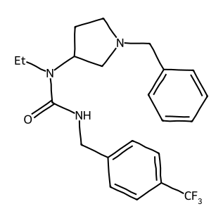 CCN(C(=O)NCc1ccc(C(F)(F)F)cc1)C1CCN(Cc2ccccc2)C1